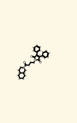 O=C(CCCN1C(=O)C(c2ccccc2)=C(c2ccccc2)C1=O)N1CCC2CCCCC2C1